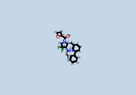 CCSN[C@@H]1[C@H](Cc2cccc(-c3ccccc3)c2)N(C(=O)C2CCO2)CC1(F)F